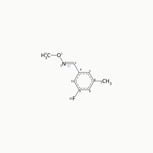 CO/N=C/c1cc(C)cc(F)c1